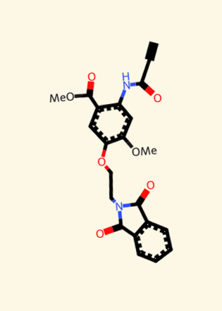 C#CC(=O)Nc1cc(OC)c(OCCN2C(=O)c3ccccc3C2=O)cc1C(=O)OC